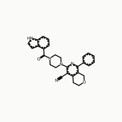 N#Cc1c(N2CCN(C(=O)c3cccc4[nH]ccc34)CC2)nc(-c2ccccc2)c2c1CCOC2